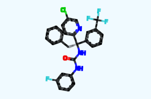 O=C(Nc1cccc(F)c1)N[C@](Cc1ccccc1)(c1cccc(C(F)(F)F)c1)c1ccc(Cl)cn1